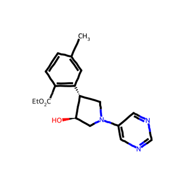 CCOC(=O)c1ccc(C)cc1[C@@H]1CN(c2cncnc2)C[C@H]1O